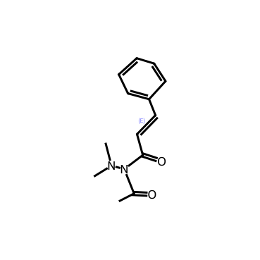 CC(=O)N(C(=O)/C=C/c1ccccc1)N(C)C